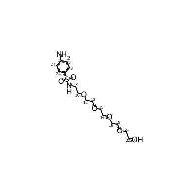 Nc1ccc(S(=O)(=O)NCCOCCOCCOCCOCCO)cc1